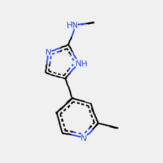 CNc1ncc(-c2ccnc(C)c2)[nH]1